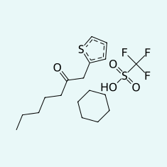 C1CCCCC1.CCCCCC(=O)Cc1cccs1.O=S(=O)(O)C(F)(F)F